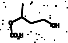 CC(CCO)OC(=O)O